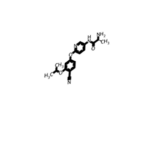 CC(C)Oc1cc(Oc2ccc(NC(=O)[C@@H](C)N)cn2)ccc1C#N